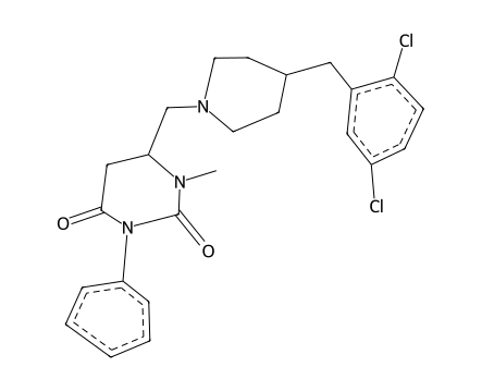 CN1C(=O)N(c2ccccc2)C(=O)CC1CN1CCC(Cc2cc(Cl)ccc2Cl)CC1